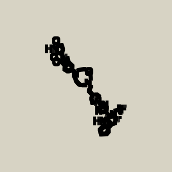 C[C@@H]1Cc2c([nH]c3ccccc23)[C@@H](c2cnc(N3CCC(CCN4CCCCN(c5ccc6c(c5)CN(C5CCC(=O)NC5=O)C6=O)CCOCC4)CC3)nc2)N1CC(C)(C)F